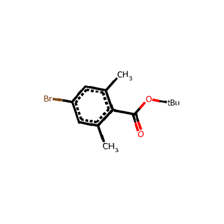 Cc1cc(Br)cc(C)c1C(=O)OC(C)(C)C